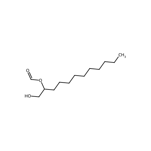 CCCCCCCCCCC(CO)OC=O